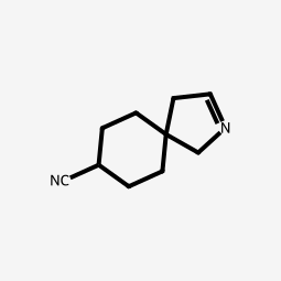 N#CC1CCC2(CC=NC2)CC1